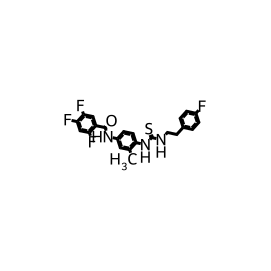 Cc1cc(NC(=O)c2cc(F)c(F)cc2F)ccc1NC(=S)NCCc1ccc(F)cc1